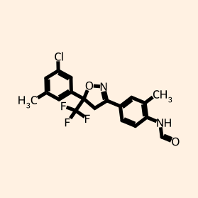 Cc1cc(Cl)cc(C2(C(F)(F)F)CC(c3ccc(NC=O)c(C)c3)=NO2)c1